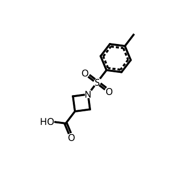 Cc1ccc(S(=O)(=O)N2CC(C(=O)O)C2)cc1